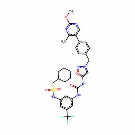 COc1ncc(-c2ccc(C[n+]3cc([N-]C(=O)Nc4cc(NS(=O)(=O)CC5CCCCC5)cc(C(F)(F)F)c4)on3)cc2)c(C)n1